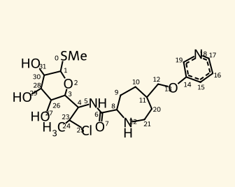 CSC1OC(C(NC(=O)C2CCC(COc3cccnc3)CCN2)C(C)Cl)C(O)C(O)C1O